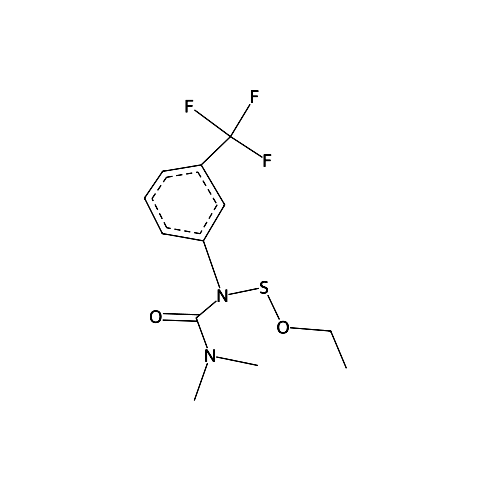 CCOSN(C(=O)N(C)C)c1cccc(C(F)(F)F)c1